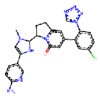 CN1C=C(c2ccc(N)nc2)NC1C1CCc2cc(-c3cc(Cl)ccc3-n3cnnn3)cc(=O)n21